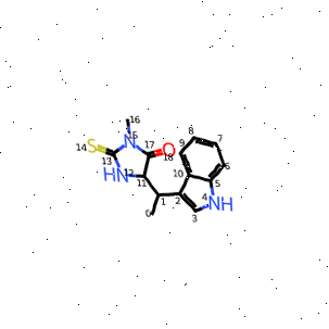 CC(c1c[nH]c2ccccc12)C1NC(=S)N(C)C1=O